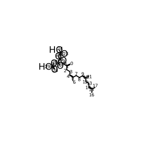 C=C(CCC=C(C)CCC=C(C)CCC=C(C)C)C1OC(OC(=O)O)C(OC(=O)O)O1